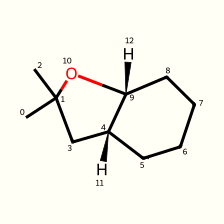 CC1(C)C[C@H]2[CH]CCC[C@H]2O1